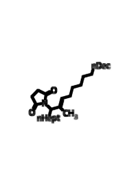 CCCCCCCCCCCCCCCC=C(C)C(CCCCCCC)N1C(=O)CCC1=O